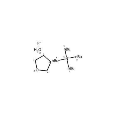 C1CCOC1.CCCC[N+](CCCC)(CCCC)CCCC.O.[F-]